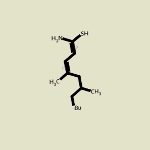 CCC(C)CC(C)C/C(C)=C\C=C(/N)S